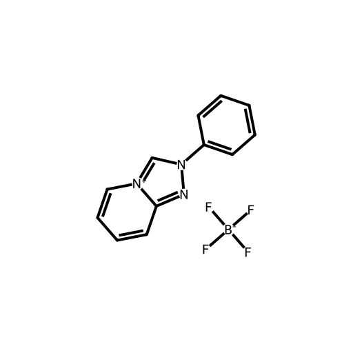 F[B-](F)(F)F.c1ccc(-n2c[n+]3ccccc3n2)cc1